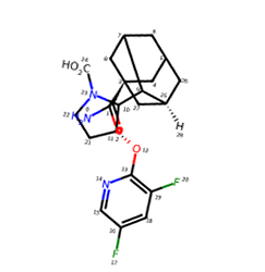 NC(=O)[C@]12CC3CC(C1)C(C1[C@H](Oc4ncc(F)cc4F)CCN1C(=O)O)[C@@H](C3)C2